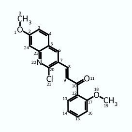 COc1ccc2cc(/C=C/C(=O)c3ccccc3OC)c(Cl)nc2c1